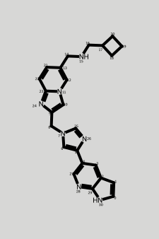 c1cc2cc(-c3cn(Cc4cn5cc(CNCC6CCC6)ccc5n4)cn3)cnc2[nH]1